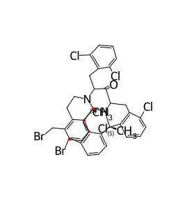 C[C@H]1c2cccc(CBr)c2CCN1C(Cc1c(Cl)cccc1Cl)C(=O)C(Cc1c(Cl)cccc1Cl)N1CCc2c(CBr)cccc2[C@@H]1C